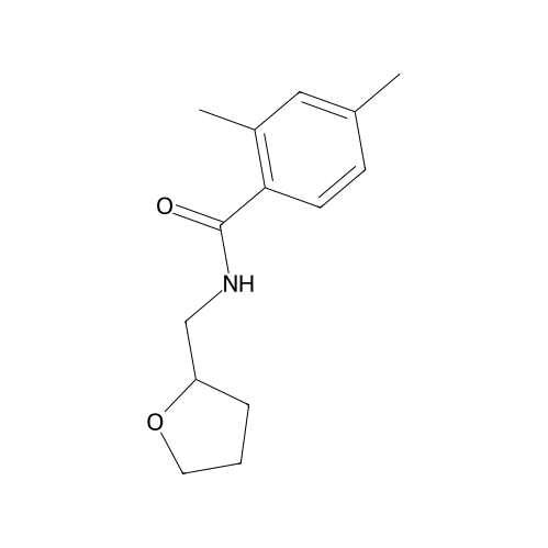 Cc1ccc(C(=O)NCC2CCCO2)c(C)c1